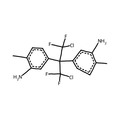 Cc1ccc(C(c2ccc(C)c(N)c2)(C(F)(F)Cl)C(F)(F)Cl)cc1N